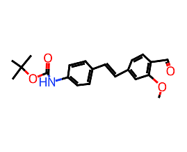 COc1cc(/C=C/c2ccc(NC(=O)OC(C)(C)C)cc2)ccc1C=O